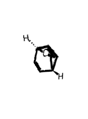 C1=C[C@H]2C=C[C@H]1CC2